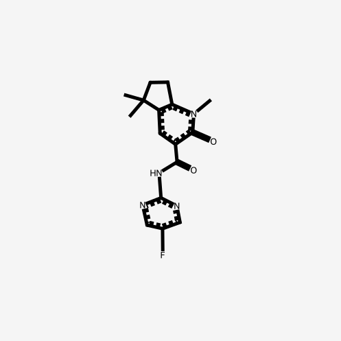 Cn1c2c(cc(C(=O)Nc3ncc(F)cn3)c1=O)C(C)(C)CC2